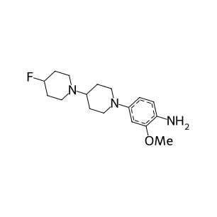 COc1cc(N2CCC(N3CCC(F)CC3)CC2)ccc1N